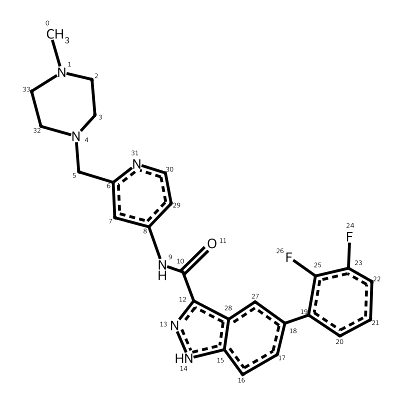 CN1CCN(Cc2cc(NC(=O)c3n[nH]c4ccc(-c5cccc(F)c5F)cc34)ccn2)CC1